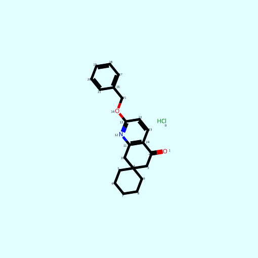 Cl.O=C1CC2(CCCCC2)Cc2nc(OCc3ccccc3)ccc21